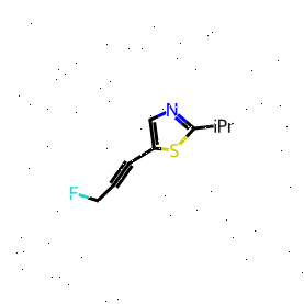 CC(C)c1ncc(C#CCF)s1